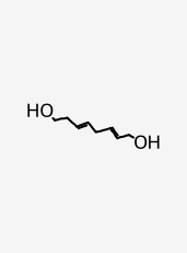 OC/C=C/C/C=C/CCO